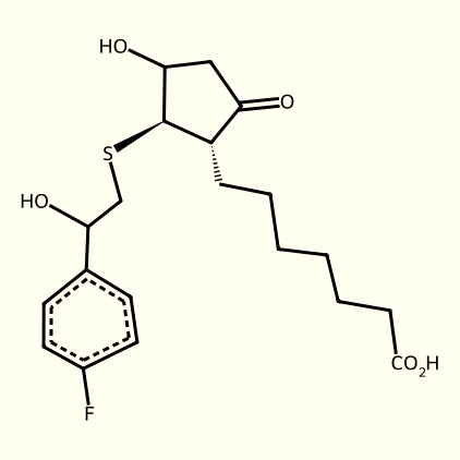 O=C(O)CCCCCC[C@H]1C(=O)CC(O)[C@@H]1SCC(O)c1ccc(F)cc1